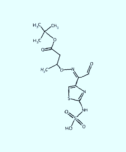 CC(CC(=O)OC(C)(C)C)O/N=C(/[C]=O)c1csc(NS(=O)(=O)O)n1